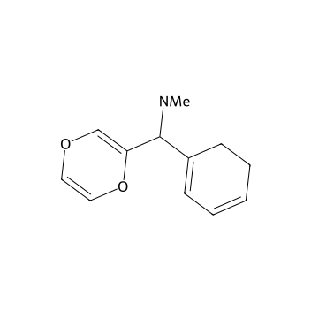 CNC(C1=CC=CCC1)C1=COC=CO1